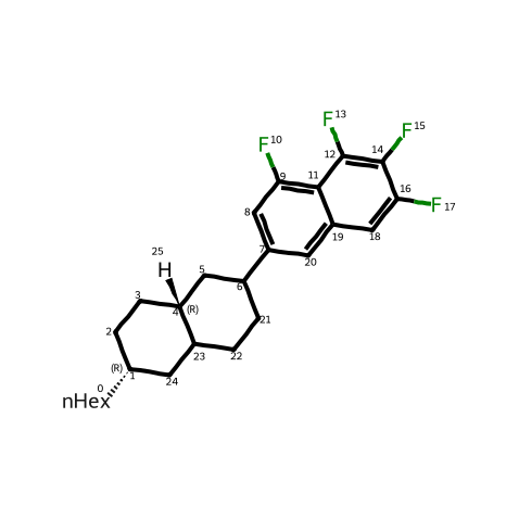 CCCCCC[C@@H]1CC[C@@H]2CC(c3cc(F)c4c(F)c(F)c(F)cc4c3)CCC2C1